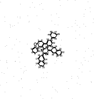 C1=CC2Oc3ccccc3C2C(c2nc(-c3ccc4ccccc4c3)nc(-c3ccc4ccccc4c3)n2)=C1c1cccc(-c2ccccc2)c1